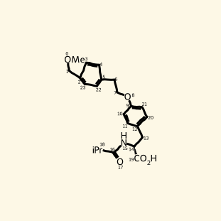 COCc1ccc(CCOc2ccc(C[C@H](NC(=O)C(C)C)C(=O)O)cc2)cc1